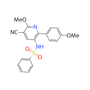 COc1ccc(-c2nc(OC)c(C#N)cc2NS(=O)(=O)c2ccccc2)cc1